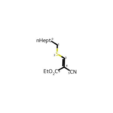 CCCCCCCCS/C=C(/C#N)C(=O)OCC